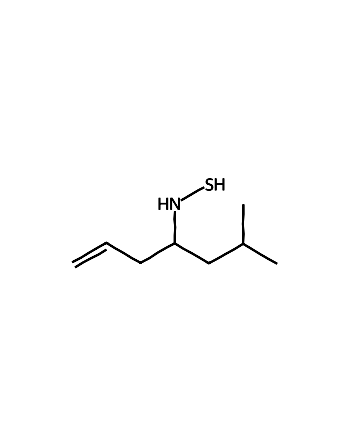 C=CCC(CC(C)C)NS